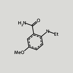 CC[N]c1ccc(OC)cc1C(N)=O